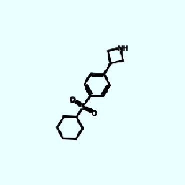 O=S(=O)(c1ccc(C2CNC2)cc1)C1CCCCC1